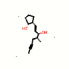 CC#CC[C@H](C)[C@H](O)/C=C/[C@@H]1CCC[C@H]1O